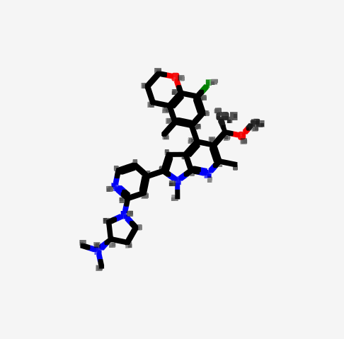 Cc1nc2c(cc(-c3ccnc(N4CC[C@@H](N(C)C)C4)c3)n2C)c(-c2cc(F)c3c(c2C)CCCO3)c1[C@H](OC(C)(C)C)C(=O)O